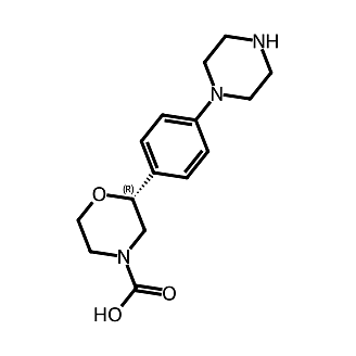 O=C(O)N1CCO[C@H](c2ccc(N3CCNCC3)cc2)C1